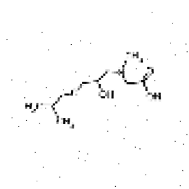 C=C(C)COCC(O)CN(C)CC(=O)O